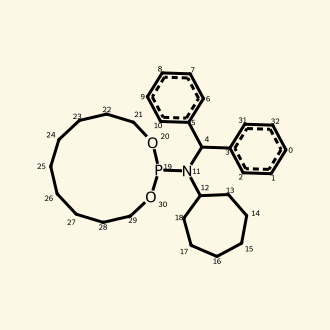 c1ccc(C(c2ccccc2)N(C2CCCCCC2)P2OCCCCCCCCCO2)cc1